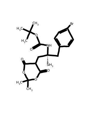 CC(C)(C)OC(=O)N[C@@]([SiH3])(Cc1ccc(Br)cc1)CC1C(=O)OC(C)(C)OC1=O